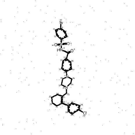 O=C(NS(=O)(=O)c1ccc(Br)cc1)c1ccc(N2CCN(CC3=C(c4ccc(Cl)cc4)CCCC3)CC2)cc1